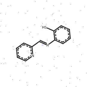 Sc1ccccc1/N=C/c1ccccn1